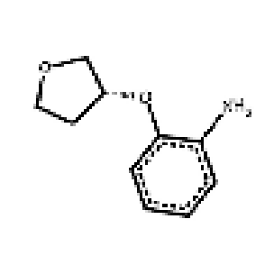 Nc1ccccc1O[C@@H]1CCOC1